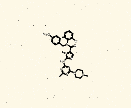 COc1ccc(CN(C(=O)c2cnc(Nc3nc(C)nc(N4CCN(C)CC4)n3)n2C)c2c(C)cccc2Cl)cc1